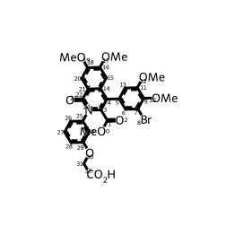 COC(=O)c1c(-c2cc(Br)c(OC)c(OC)c2)c2cc(OC)c(OC)cc2c(=O)n1-c1cccc(OCC(=O)O)c1